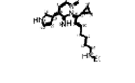 C=N/C=C\C(C(=N)/N=C(\C=C\CCCCNCC)C1CC1)=C1\C=CNC1